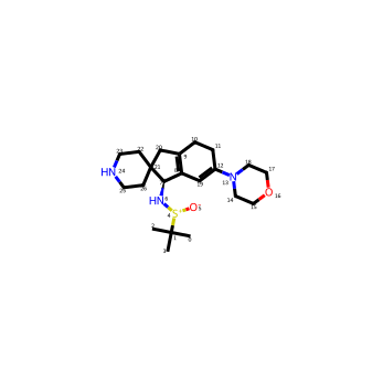 CC(C)(C)[S+]([O-])N[C@@H]1C2=C(CCC(N3CCOCC3)=C2)CC12CCNCC2